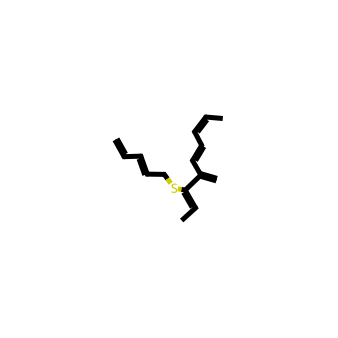 C=C/C=C/CS/C(=C\C)C(=C)/C=C/C=C\C